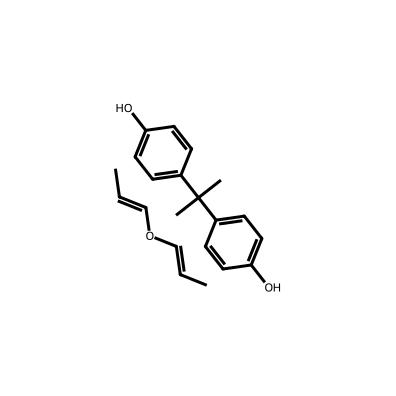 CC(C)(c1ccc(O)cc1)c1ccc(O)cc1.CC=COC=CC